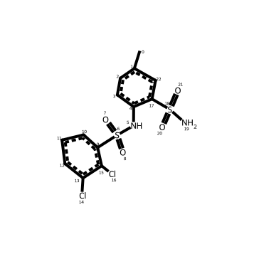 Cc1ccc(NS(=O)(=O)c2cccc(Cl)c2Cl)c(S(N)(=O)=O)c1